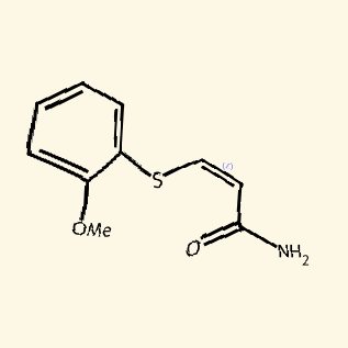 COc1ccccc1S/C=C\C(N)=O